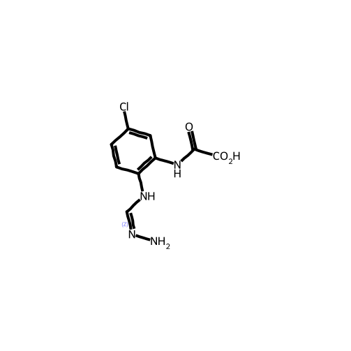 N/N=C\Nc1ccc(Cl)cc1NC(=O)C(=O)O